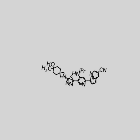 CC(C)Nc1cc(-c2ccc3cc(C#N)cnn23)ncc1-c1nnc(N2CC3(CCC(C)(O)CC3)C2)s1